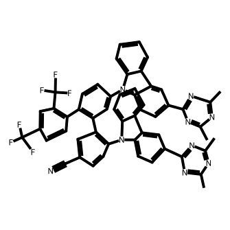 Cc1nc(C)nc(-c2ccc3c(c2)c2ccccc2n3-c2ccc(-c3ccc(C(F)(F)F)cc3C(F)(F)F)c(-c3cc(C#N)ccc3-n3c4ccccc4c4cc(-c5nc(C)nc(C)n5)ccc43)c2)n1